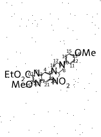 CCOC(=O)c1nc2cc(N3CCN(c4ccc(OC)cc4)CC3)c([N+](=O)[O-])cc2nc1OC